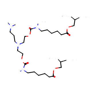 CCCCCCCCN(CCCCCC(=O)OCC(CCCCC)CCCCC)C(=O)OCCN(CCCN(CC)CC)CCOC(=O)N(CCCCCCCC)CCCCCC(=O)OCC(CCCCC)CCCCC